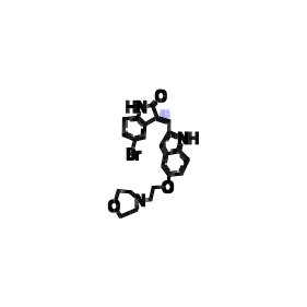 O=C1Nc2ccc(Br)cc2/C1=C\c1cc2cc(OCCN3CCOCC3)ccc2[nH]1